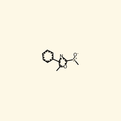 Cc1oc([S+](C)[O-])nc1-c1ccccc1